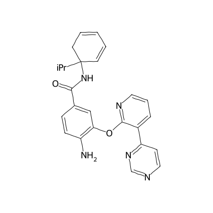 CC(C)C1(NC(=O)c2ccc(N)c(Oc3ncccc3-c3ccncn3)c2)C=CC=CC1